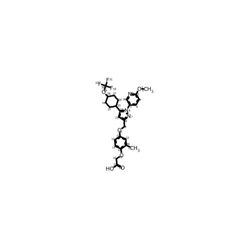 COc1ccc(-n2nc(COc3ccc(OCC(=O)O)c(C)c3)cc2C2CCC(OC(F)(F)F)CC2)cn1